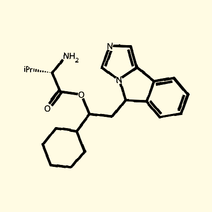 CC(C)[C@H](N)C(=O)OC(CC1c2ccccc2-c2cncn21)C1CCCCC1